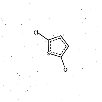 [O]c1ccc(Cl)s1